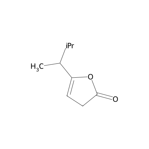 CC(C)C(C)C1=CCC(=O)O1